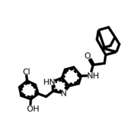 O=C(CC1C2CC3CC(C2)CC1C3)Nc1ccc2[nH]c(Cc3cc(Cl)ccc3O)nc2c1